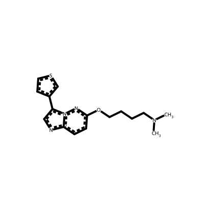 CN(C)CCCCOc1ccc2ncc(-c3ccsc3)n2n1